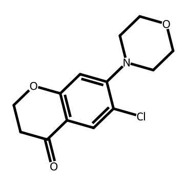 O=C1CCOc2cc(N3CCOCC3)c(Cl)cc21